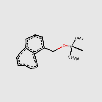 CO[Si](C)(OC)OCc1cccc2ccccc12